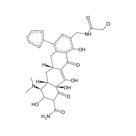 CN(C)[C@@H]1C(O)C(C(N)=O)C(=O)[C@@]2(O)C(O)=C3C(=O)c4c(O)c(CNC(=O)CCl)cc(-c5ccccc5)c4C[C@H]3C[C@@H]12